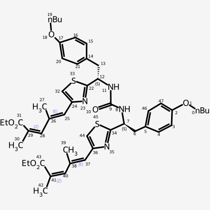 CCCCOc1ccc(C[C@H](NC(=O)N[C@@H](Cc2ccc(OCCCC)cc2)c2nc(/C=C(C)/C=C(/C)C(=O)OCC)cs2)c2nc(/C=C(C)/C=C(/C)C(=O)OCC)cs2)cc1